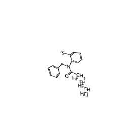 CC(=O)N(Cc1ccccc1)c1ccccc1[S].Cl.F.F.F.F